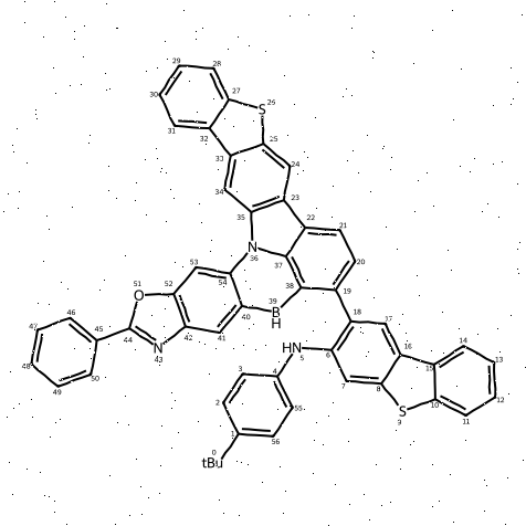 CC(C)(C)c1ccc(Nc2cc3sc4ccccc4c3cc2-c2ccc3c4cc5sc6ccccc6c5cc4n4c3c2Bc2cc3nc(-c5ccccc5)oc3cc2-4)cc1